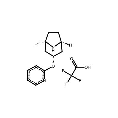 O=C(O)C(F)(F)F.c1ccc(O[C@@H]2C[C@H]3CC[C@@H](C2)N3)nc1